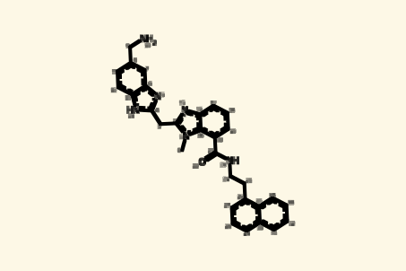 Cn1c(Cc2nc3cc(CN)ccc3[nH]2)nc2cccc(C(=O)NCCc3cccc4ccccc34)c21